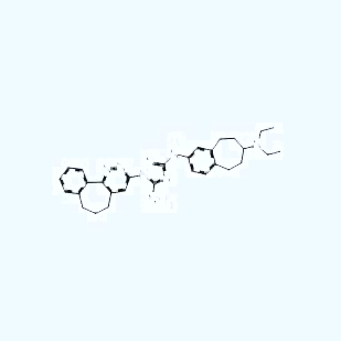 CCN(CC)C1CCc2ccc(Nc3nc(N)n(-c4cc5c(nn4)-c4ccccc4CCC5)n3)cc2CC1